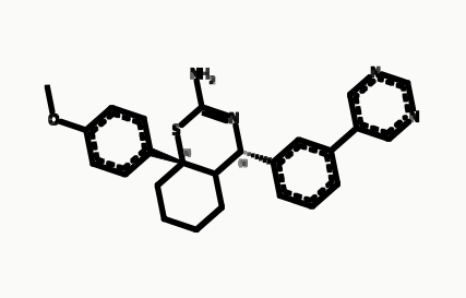 COc1ccc([C@]23CCCCC2[C@@H](c2cccc(-c4cncnc4)c2)N=C(N)S3)cc1